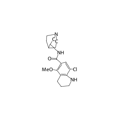 COc1c(C(=O)NC2CN3CCC2CC3)cc(Cl)c2c1CCCN2